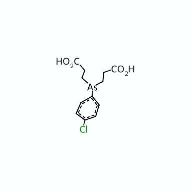 O=C(O)CC[As](CCC(=O)O)c1ccc(Cl)cc1